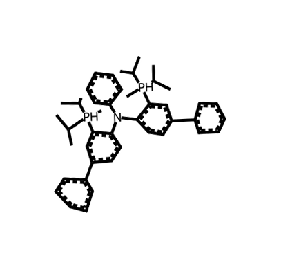 CC(C)[PH](C)(c1cc(-c2ccccc2)ccc1N(c1ccccc1)c1ccc(-c2ccccc2)cc1[PH](C)(C(C)C)C(C)C)C(C)C